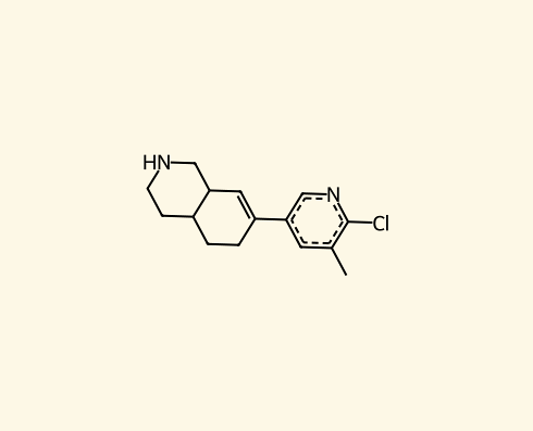 Cc1cc(C2=CC3CNCCC3CC2)cnc1Cl